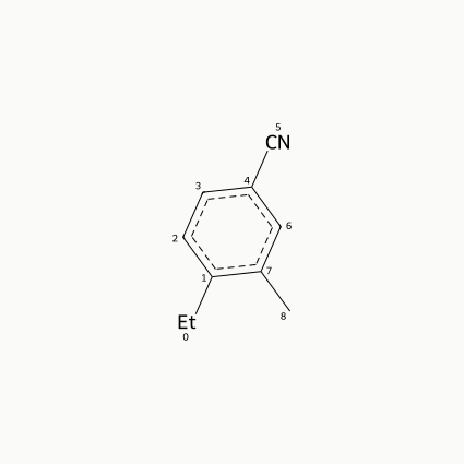 CCc1ccc(C#N)cc1C